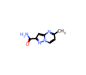 Cc1ccn2nc(C(N)=O)cc2n1